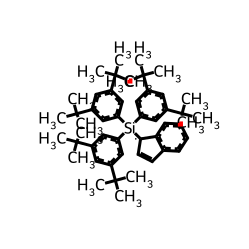 CC(C)(C)c1cc(C(C)(C)C)cc([Si]([C]2C=Cc3ccccc32)(c2cc(C(C)(C)C)cc(C(C)(C)C)c2)c2cc(C(C)(C)C)cc(C(C)(C)C)c2)c1